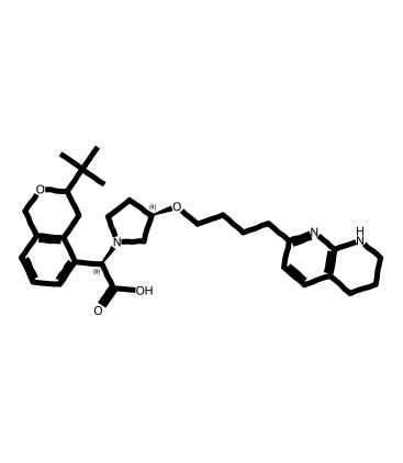 CC(C)(C)C1Cc2c(cccc2[C@H](C(=O)O)N2CC[C@@H](OCCCCc3ccc4c(n3)NCCC4)C2)CO1